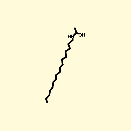 CCCCCCCCCCCCCCCCCNC(C)O